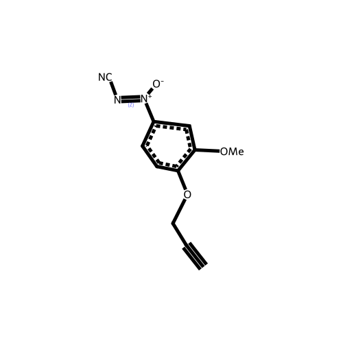 C#CCOc1ccc(/[N+]([O-])=N/C#N)cc1OC